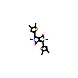 Cc1cc(C2=C3C(=O)N(C)C(c4cc(C)c(C)s4)=C3C(=O)N2C)sc1C